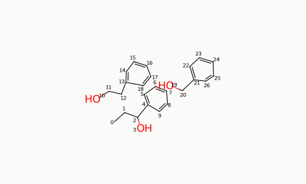 CCC(O)c1ccccc1.OCCc1ccccc1.OCc1ccccc1